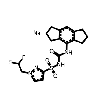 O=C(Nc1c2c(cc3c1CCC3)CCC2)NS(=O)(=O)c1ccn(CC(F)F)n1.[Na]